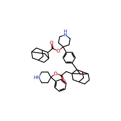 O=C(CC12CC3CCC(CC1c1ccc(C4(OC(=O)C5C6CC7CC(C6)CC5C7)CCNCC4)cc1)C(C3)C2)OC1(c2ccccc2)CCNCC1